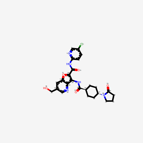 O=C(Nc1ccc(Cl)cn1)c1oc2cc(CO)cnc2c1NC(=O)[C@H]1CC[C@H](N2CCCC2=O)CC1